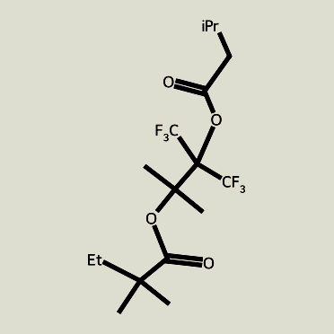 CCC(C)(C)C(=O)OC(C)(C)C(OC(=O)CC(C)C)(C(F)(F)F)C(F)(F)F